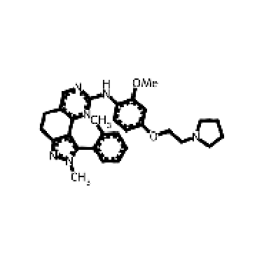 COc1cc(OCCN2CCCC2)ccc1Nc1ncc2c(n1)-c1c(nn(C)c1-c1ccccc1C)CC2